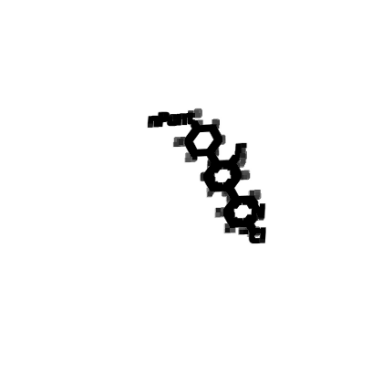 CCCCCC1CCC(c2ccc(-c3ccc(Cl)nc3)cc2F)CC1